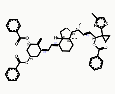 C=C1/C(=C\C=C2/CCC[C@]3(C)[C@@H]([C@H](C)/C=C/[C@H](OC(=O)c4ccccc4)C4(c5nc(C)cs5)CC4)CC[C@@H]23)C[C@@H](OC(=O)c2ccccc2)C[C@@H]1OC(=O)c1ccccc1